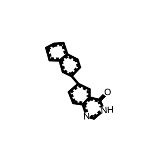 O=c1[nH]cnc2ccc(-c3ccc4ccccc4c3)cc12